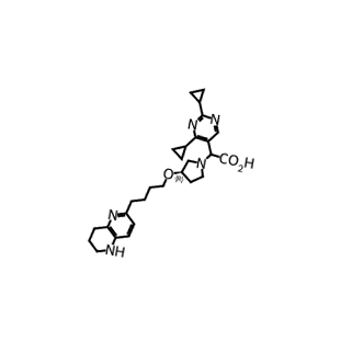 O=C(O)C(c1cnc(C2CC2)nc1C1CC1)N1CC[C@@H](OCCCCc2ccc3c(n2)CCCN3)C1